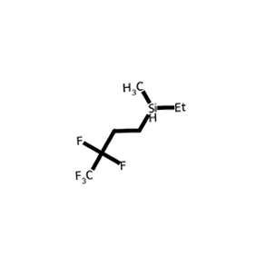 CC[SiH](C)CCC(F)(F)C(F)(F)F